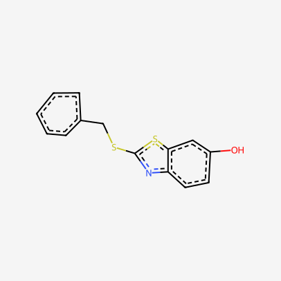 Oc1ccc2nc(SCc3ccccc3)sc2c1